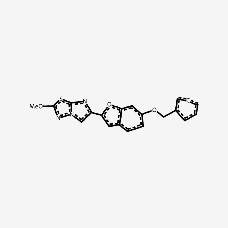 COc1nn2cc(-c3cc4ccc(OCc5ccccc5)cc4o3)nc2s1